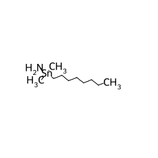 CCCCCCC[CH2][Sn]([CH3])([CH3])[NH2]